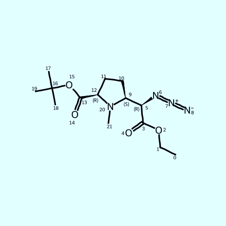 CCOC(=O)[C@H](N=[N+]=[N-])[C@@H]1CC[C@H](C(=O)OC(C)(C)C)N1C